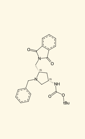 CC(C)(C)OC(=O)N[C@H]1C[C@@H](CN2C(=O)c3ccccc3C2=O)N(Cc2ccccc2)C1